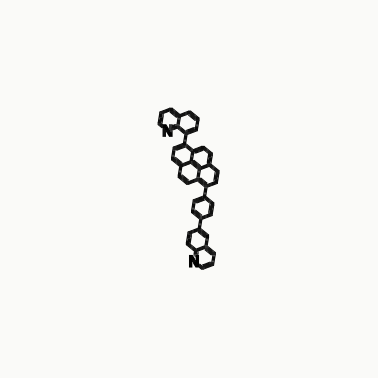 c1cnc2ccc(-c3ccc(-c4ccc5ccc6c(-c7cccc8cccnc78)ccc7ccc4c5c76)cc3)cc2c1